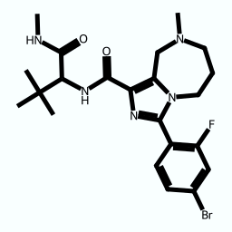 CNC(=O)C(NC(=O)c1nc(-c2ccc(Br)cc2F)n2c1CN(C)CCC2)C(C)(C)C